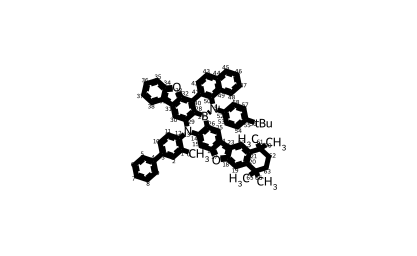 Cc1cc(-c2ccccc2)ccc1N1c2cc3oc4cc5c(cc4c3cc2B2c3c1cc1c(oc4ccccc41)c3-c1ccc3ccccc3c1N2c1ccc(C(C)(C)C)cc1)C(C)(C)CCC5(C)C